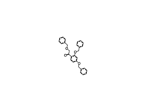 O=C(COCc1ccccc1)c1ccc(OCc2ccccc2)cc1OCc1ccccc1